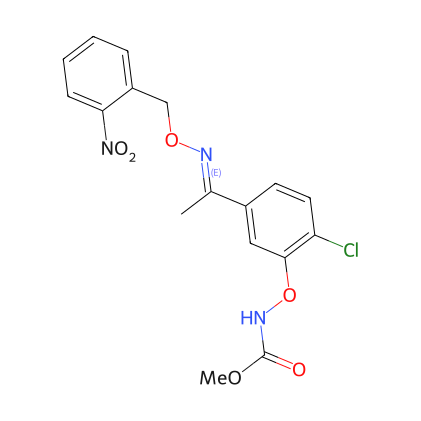 COC(=O)NOc1cc(/C(C)=N/OCc2ccccc2[N+](=O)[O-])ccc1Cl